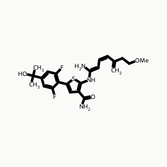 C=C(/C=C\C=C(/N)Nc1sc(-c2c(F)cc(C(C)(C)O)cc2F)cc1C(N)=O)CCOC